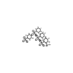 O=S(=O)([O-])c1ccccc1.O=S(=O)([O-])c1ccccc1.O=S(=O)([O-])c1ccccc1.O=S(=O)([O-])c1ccccc1.[Zr+4]